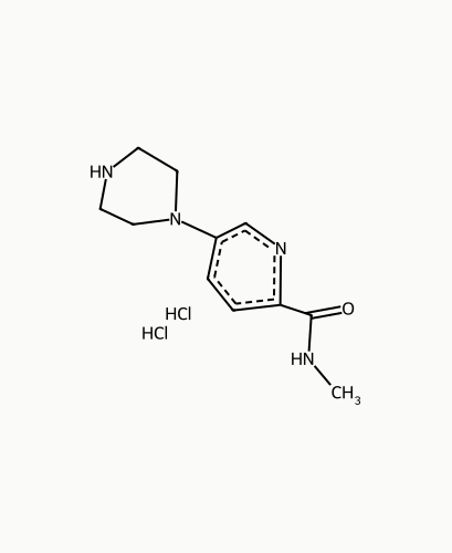 CNC(=O)c1ccc(N2CCNCC2)cn1.Cl.Cl